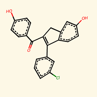 O=C(C1=C(c2cccc(Cl)c2)c2ccc(O)cc2C1)c1ccc(O)cc1